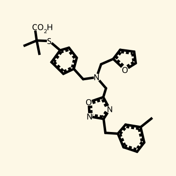 Cc1cccc(Cc2noc(CN(Cc3ccc(SC(C)(C)C(=O)O)cc3)Cc3ccco3)n2)c1